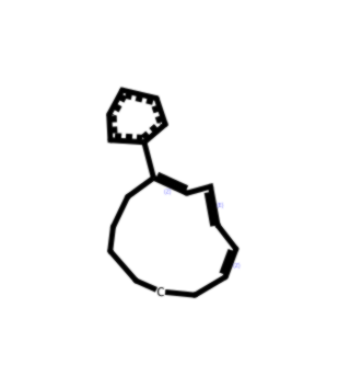 C1=C\CCCCCC/C(c2ccccc2)=C/C=C/1